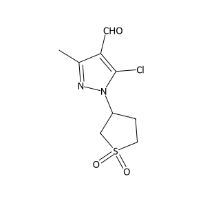 Cc1nn(C2CCS(=O)(=O)C2)c(Cl)c1C=O